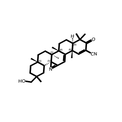 CC1(CO)CC[C@]2(C)CC[C@@]3(C)[C@]4(C)CC[C@H]5C(C)(C)C(=O)C(C#N)=C[C@]5(C)C4=CC4=N[C@]43C2C1